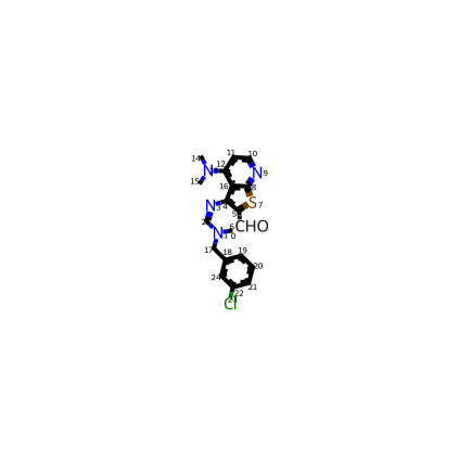 CN(/C=N\c1c(C=O)sc2nccc(N(C)C)c12)Cc1cccc(Cl)c1